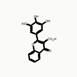 O=C(O)c1c(-c2cc(O)c(O)c(O)c2)oc2ccccc2c1=O